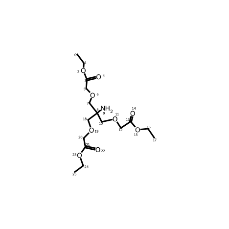 CCOC(=O)COCC(N)(COCC(=O)OCC)COCC(=O)OCC